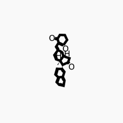 C[C@]12C=CC3=CC4=C(CCCC4=O)O[C@H]3[C@@H]1CC(=O)[C@@H]2c1ccc2ccccc2c1